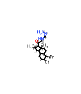 CCCC1C(CC)CCC2C1CCC1(C)C2CC(C)C1C(=O)CN/C=N\N